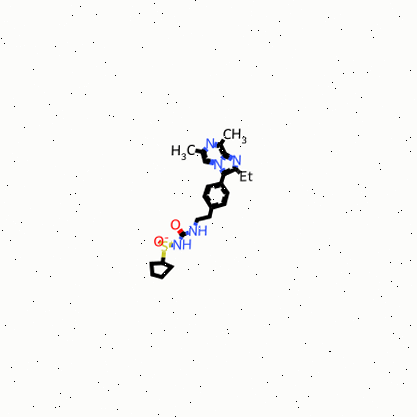 CCc1nc2c(C)nc(C)cn2c1-c1ccc(CCNC(=O)N[S+]([O-])C2CCCC2)cc1